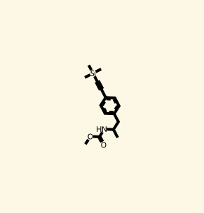 COC(=O)NC(C)Cc1ccc(C#C[Si](C)(C)C)cc1